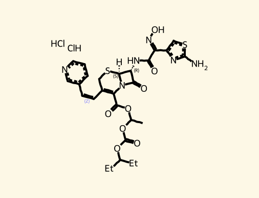 CCC(CC)OC(=O)OC(C)OC(=O)C1=C(/C=C\c2cccnc2)CS[C@H]2[C@H](NC(=O)C(=NO)c3csc(N)n3)C(=O)N12.Cl.Cl